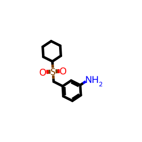 Nc1cccc(CS(=O)(=O)C2CCCCC2)c1